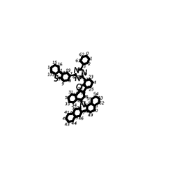 c1ccc(-c2nc(-c3ccc4sc5ccccc5c4c3)nc(-c3cccc4c3oc3c5ccccc5c(-n5c6cc7ccccc7cc6c6ccc7ccccc7c65)cc43)n2)cc1